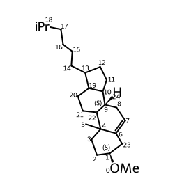 CO[C@H]1CCC2(C)C(=CC[C@H]3C4CCC(CCCCC(C)C)C4CCC32)C1